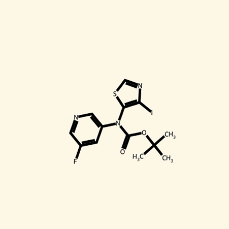 CC(C)(C)OC(=O)N(c1cncc(F)c1)c1scnc1I